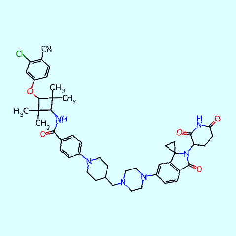 CC1(C)C(NC(=O)c2ccc(N3CCC(CN4CCN(c5ccc6c(c5)C5(CC5)N(C5CCC(=O)NC5=O)C6=O)CC4)CC3)cc2)C(C)(C)C1Oc1ccc(C#N)c(Cl)c1